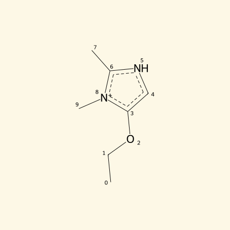 CCOc1c[nH]c(C)[n+]1C